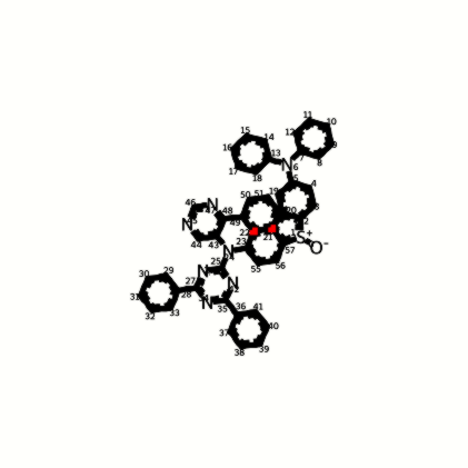 [O-][s+]1c2ccc(N(c3ccccc3)c3ccccc3)cc2c2cc(N(c3nc(-c4ccccc4)nc(-c4ccccc4)n3)c3cncnc3-c3ccccc3)ccc21